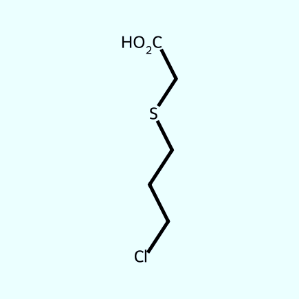 O=C(O)CSCCCCl